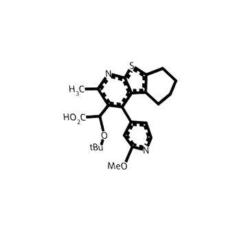 COc1cc(-c2c(C(OC(C)(C)C)C(=O)O)c(C)nc3sc4c(c23)CCCC4)ccn1